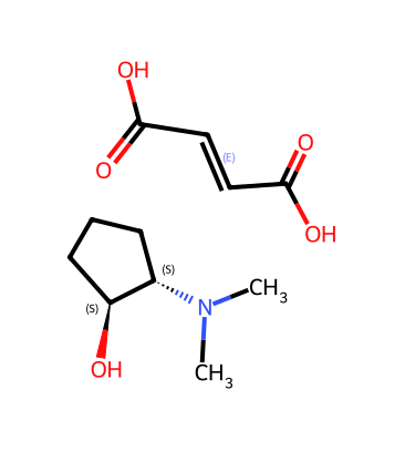 CN(C)[C@H]1CCC[C@@H]1O.O=C(O)/C=C/C(=O)O